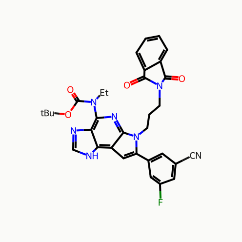 CCN(C(=O)OC(C)(C)C)c1nc2c(cc(-c3cc(F)cc(C#N)c3)n2CCCN2C(=O)c3ccccc3C2=O)c2[nH]cnc12